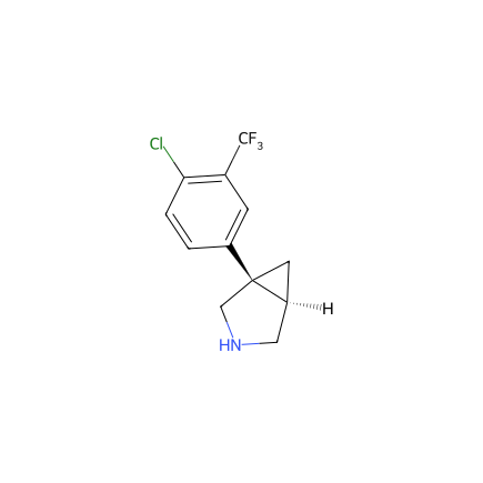 FC(F)(F)c1cc([C@]23CNC[C@@H]2C3)ccc1Cl